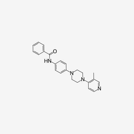 Cc1cnccc1N1CCN(c2ccc(NC(=O)c3ccccc3)cc2)CC1